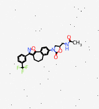 CC(=O)NCC1CN(c2ccc3c(c2)CCCc2c(-c4cccc(C(F)(F)F)c4)noc2-3)C(=O)O1